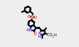 Cc1cccc(CS(=O)(=O)c2ccc3c(c2)/C(=C/c2[nH]c(C)c(C(=O)O)c2C)C(=O)N3)c1